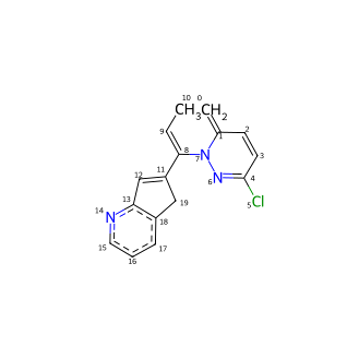 C=C1C=CC(Cl)=NN1/C(=C\C)C1=Cc2ncccc2C1